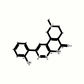 CN1CCc2c(c3cc(-c4ccccc4O)nnc3[nH]c2=O)C1